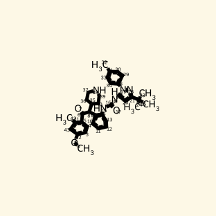 COc1ccc(C(=O)C(c2ccccc2NC(=O)Nc2cc(C(C)(C)C)nn2-c2ccc(C)cc2)C2CCNCC2)c(C)c1